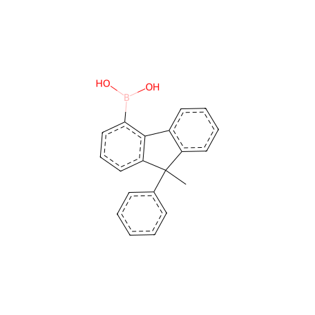 CC1(c2ccccc2)c2ccccc2-c2c(B(O)O)cccc21